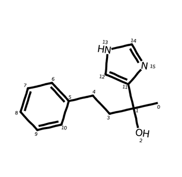 CC(O)(CCc1ccccc1)c1c[nH]cn1